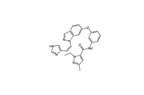 CCn1nc(C)cc1C(=O)Nc1cccc(Oc2ccc3cnn(C=Cc4c[nH]cn4)c3c2)c1